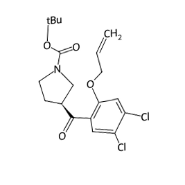 C=CCOc1cc(Cl)c(Cl)cc1C(=O)[C@H]1CCN(C(=O)OC(C)(C)C)C1